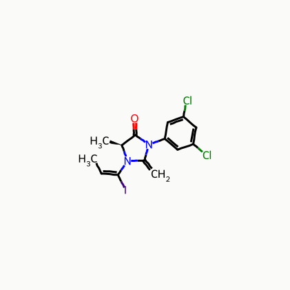 C=C1N(c2cc(Cl)cc(Cl)c2)C(=O)[C@H](C)N1/C(I)=C\C